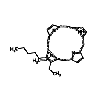 CCCCCc1c(CC)c2cc3nc(cc4ccc(cc5nc(cc1n2CC)C=C5)[nH]4)C=C3